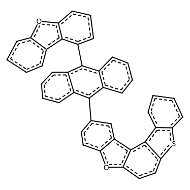 c1ccc2c(c1)oc1cccc(-c3c4ccccc4c(-c4ccc5oc6ccc7sc8ccccc8c7c6c5c4)c4ccccc34)c12